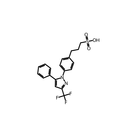 O=S(=O)(O)CCCc1ccc(-n2nc(C(F)(F)F)cc2-c2ccccc2)cc1